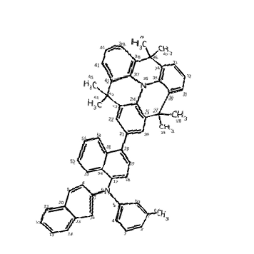 Cc1cccc(N(c2ccc3ccccc3c2)c2ccc(-c3cc4c5c(c3)C(C)(C)c3cccc6c3N5c3c(cccc3C4(C)C)C6(C)C)c3ccccc23)c1